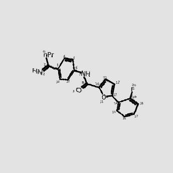 C[CH]CC(=N)c1ccc(NC(=O)c2ccc(-c3ccccc3F)o2)cc1